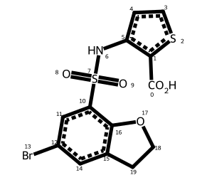 O=C(O)c1sccc1NS(=O)(=O)c1cc(Br)cc2c1OCC2